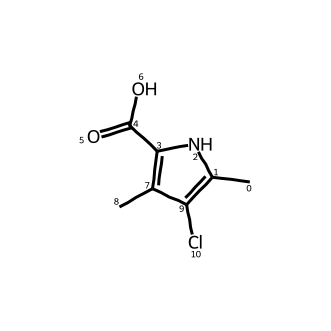 Cc1[nH]c(C(=O)O)c(C)c1Cl